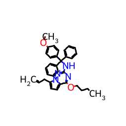 C=CCc1ccc2c(OCCCC)nc(NC(c3ccccc3)(c3ccccc3)c3ccc(OC)cc3)nn12